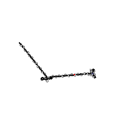 CCCOCCOCCOCCOCCOCCOCCOCCOCCOCCOCCOCCOCCC(=O)N[C@@H](Cc1ccc(OCCOCCOCCOCCOCCOCCOCCOCCOCCOCCOCCOCCN/C(=N\C(=O)OC(C)(C)C)NC(=O)OC(C)(C)C)cc1)C(=O)OCc1ccccc1